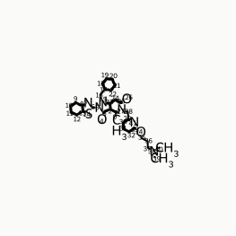 Cc1c2c(=O)n(-c3nc4ccccc4s3)n(Cc3ccccc3)c2cc(=O)n1Cc1cccc(OCCCN(C)C)n1